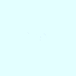 Cc1nc2cc([N+](=O)[O-])c(F)cc2o1